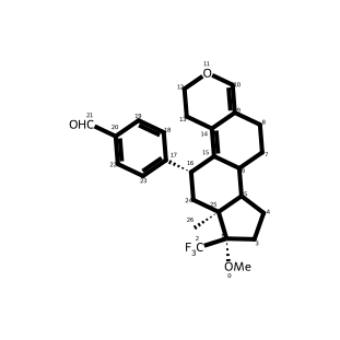 CO[C@@]1(C(F)(F)F)CCC2C3CCC4=COCCC4=C3[C@@H](c3ccc(C=O)cc3)C[C@@]21C